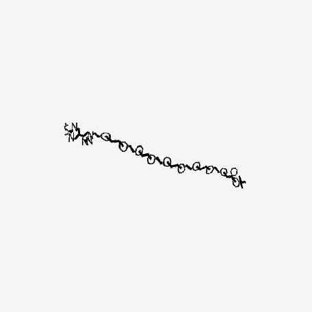 CSc1ncc(-c2cn(CCOCCOCCOCCOCCOCCOCCOCCOCCOCC(=O)OC(C)(C)C)nn2)cn1